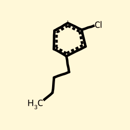 CCCCc1cc[c]c(Cl)c1